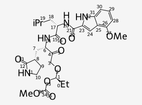 CC[C@H](OCC(=O)[C@H](C[C@@H]1CCNC1=O)NC(=O)[C@H](CC(C)C)NC(=O)c1cc2c(OC)cccc2[nH]1)OC(=O)OC